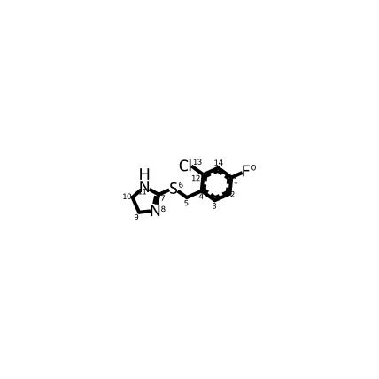 Fc1ccc(CSC2=NCCN2)c(Cl)c1